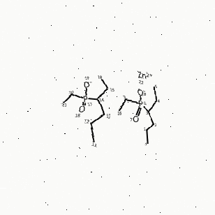 CCCC(CC)P(=O)([O-])CC.CCCC(CC)P(=O)([O-])CC.[Zn+2]